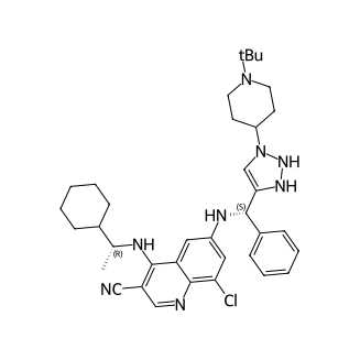 C[C@@H](Nc1c(C#N)cnc2c(Cl)cc(N[C@H](C3=CN(C4CCN(C(C)(C)C)CC4)NN3)c3ccccc3)cc12)C1CCCCC1